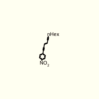 CCCCCCC#CC=CC#Cc1ccc([N+](=O)[O-])cc1